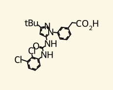 CC(C)(C)c1cc(NC(=O)Nc2cccc(Cl)c2Cl)n(-c2cccc(CC(=O)O)c2)n1